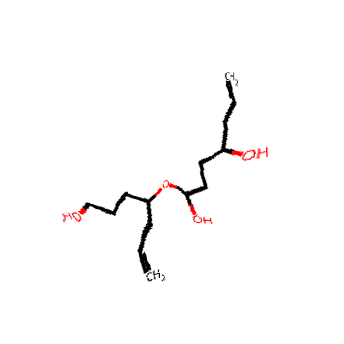 C=CCC(O)CCC(O)OC(CC=C)CCCO